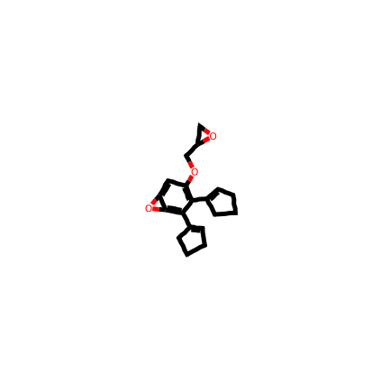 C1=C(c2c(OCC3CO3)cc3c(c2C2=CCCC2)O3)CCC1